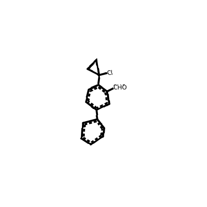 O=Cc1cc(-c2ccccc2)ccc1C1(Cl)CC1